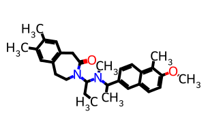 CCC(N1CCc2cc(C)c(C)cc2CC1=O)N(C)C(C)c1ccc2c(C)c(OC)ccc2c1